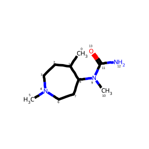 CC1CCN(C)CCC1N(C)C(N)=O